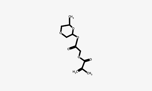 C=C(C)C(=O)OCC(=O)OC1COCC(C)O1